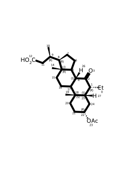 CC[C@H]1C(=O)[C@H]2C3CC[C@H]([C@H](C)CC(=O)O)[C@@]3(C)CCC2[C@@]2(C)CC[C@@H](OC(C)=O)C[C@@H]12